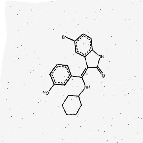 O=C1Nc2ccc(Br)cc2/C1=C(/NC1CCCCC1)c1cccc(O)c1